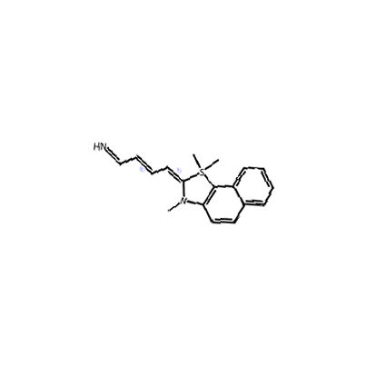 CN1/C(=C\C=C\C=N)S(C)(C)c2c1ccc1ccccc21